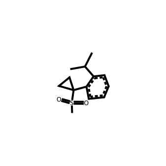 CC(C)c1ccccc1C1(S(C)(=O)=O)CC1